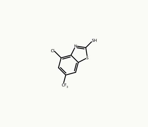 FC(F)(F)c1cc(Cl)c2nc(S)sc2c1